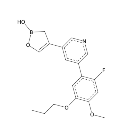 CCCOc1cc(-c2cncc(C3=COB(O)C3)c2)c(F)cc1OC